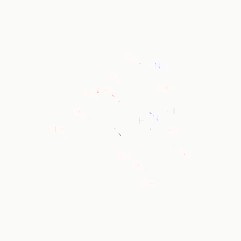 CN(C)[C@@H]1C(O)=C(C(N)=O)C(=O)[C@@]2(O)C(O)=C3C(=O)c4c(O)ccc(Cl)c4[C@@H](O)[C@H]3C[C@H]12.O=C(O)C=CC(=O)O